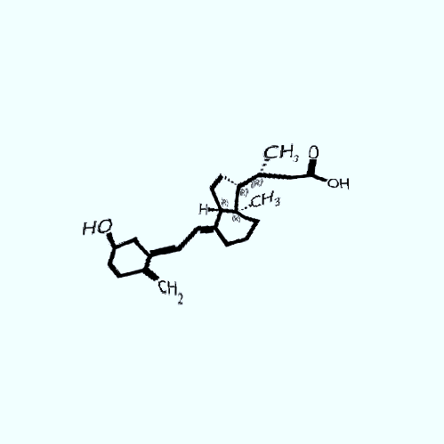 C=C1CCC(O)CC1=CC=C1CCC[C@]2(C)[C@@H]([C@H](C)CC(=O)O)CC[C@@H]12